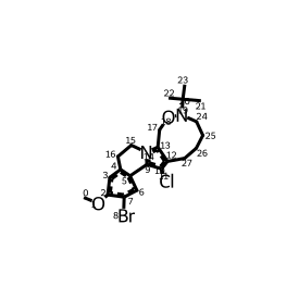 COc1cc2c(cc1Br)-c1c(Cl)c3c(n1CC2)CON(C(C)(C)C)CCCC3